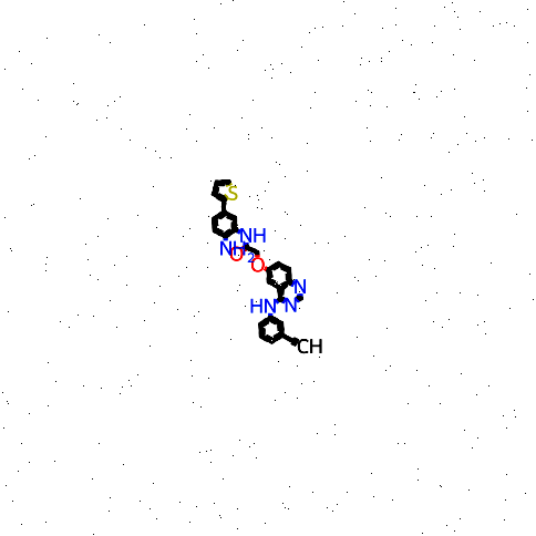 C#Cc1cccc(Nc2ncnc3ccc(OCC(=O)Nc4cc(-c5cccs5)ccc4N)cc23)c1